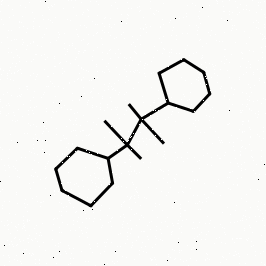 CC(C)(C1CCCCC1)C(C)(C)C1CCCCC1